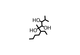 CCCCC(CC)C(C)(O)C(O)C(O)C(C)C